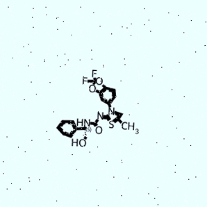 Cc1cn(-c2ccc3c(c2)OC(F)(F)O3)c(=NC(=O)N[C@H](CO)c2ccccc2)s1